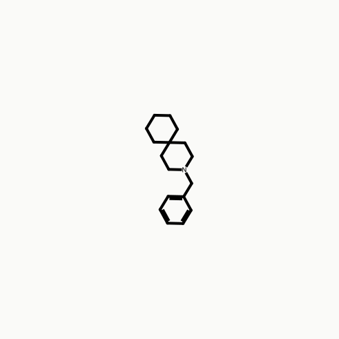 c1ccc(CN2CCC3(CCCCC3)CC2)cc1